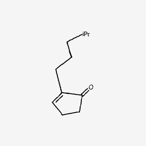 CC(C)CCCC1=CCCC1=O